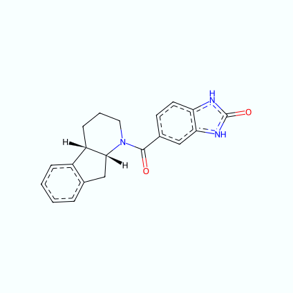 O=C(c1ccc2[nH]c(=O)[nH]c2c1)N1CCC[C@H]2c3ccccc3C[C@H]21